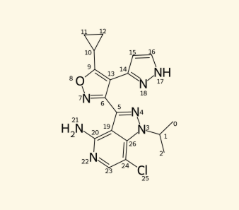 CC(C)n1nc(-c2noc(C3CC3)c2-c2cc[nH]n2)c2c(N)ncc(Cl)c21